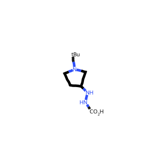 CC(C)(C)N1CCC(NNC(=O)O)C1